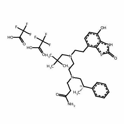 C[C@H](CN(CCC(N)=O)CCN(CCc1ccc(O)c2[nH]c(=O)sc12)CC(C)(C)C)c1ccccc1.O=C(O)C(F)(F)F.O=C(O)C(F)(F)F